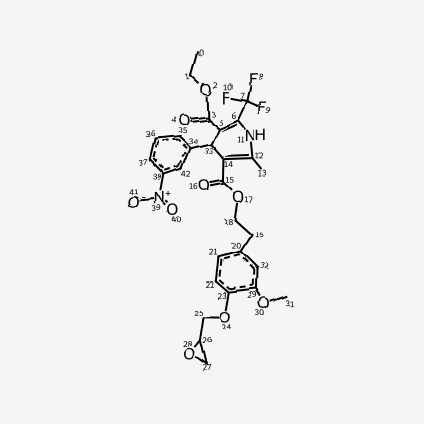 CCOC(=O)C1=C(C(F)(F)F)NC(C)=C(C(=O)OCCc2ccc(OCC3CO3)c(OC)c2)C1c1cccc([N+](=O)[O-])c1